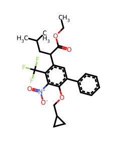 CCOC(=O)C(CC(C)C)c1cc(-c2ccccc2)c(OCC2CC2)c([N+](=O)[O-])c1C(F)(F)F